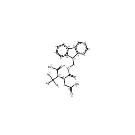 [2H]C([2H])([2H])[C@@H](C(=O)O)N(CC(=O)O)C(=O)OCC1c2ccccc2-c2ccccc21